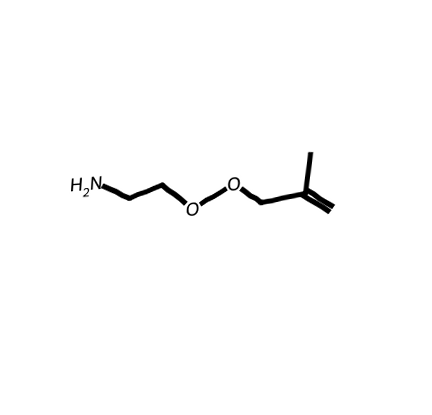 C=C(C)COOCCN